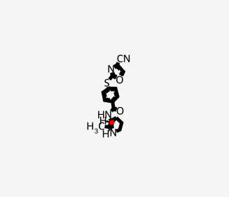 C[C@H]1[C@H](NC(=O)c2ccc(Sc3nc(C#N)co3)cc2)C2CCN1CC2